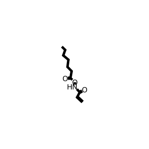 C=CC(=O)NOC(=O)CCCCCC